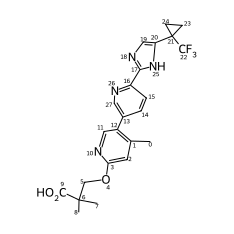 Cc1cc(OCC(C)(C)C(=O)O)ncc1-c1ccc(-c2ncc(C3(C(F)(F)F)CC3)[nH]2)nc1